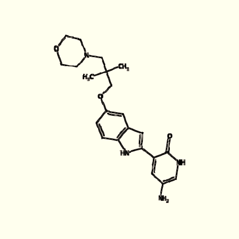 CC(C)(COc1ccc2[nH]c(-c3cc(N)c[nH]c3=O)cc2c1)CN1CCOCC1